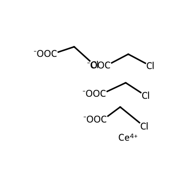 O=C([O-])CCl.O=C([O-])CCl.O=C([O-])CCl.O=C([O-])CCl.[Ce+4]